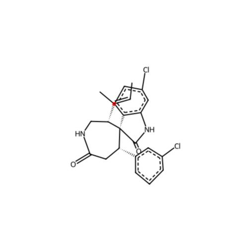 CC=C(C)[C@H]1CNC(=O)C[C@@H](c2cccc(Cl)c2)[C@]12C(=O)Nc1cc(Cl)ccc12